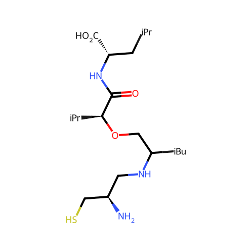 CCC(C)C(CO[C@H](C(=O)N[C@@H](CC(C)C)C(=O)O)C(C)C)NC[C@@H](N)CS